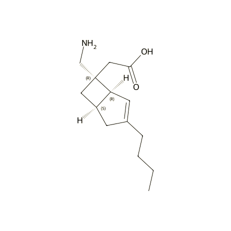 CCCCC1=C[C@H]2[C@@H](C1)C[C@@]2(CN)CC(=O)O